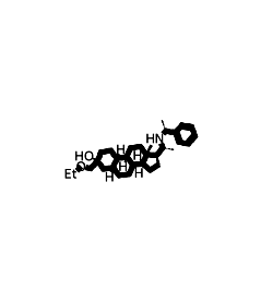 CCOC[C@@]1(O)CC[C@H]2[C@H](CC[C@@H]3[C@@H]2CC[C@]2(C)[C@@H]([C@@H](C)N[C@H](C)c4ccccc4)CC[C@@H]32)C1